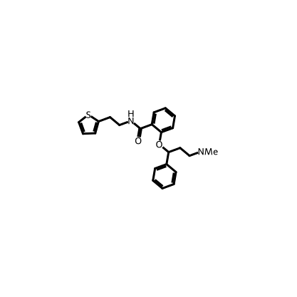 CNCCC(Oc1ccccc1C(=O)NCCc1cccs1)c1ccccc1